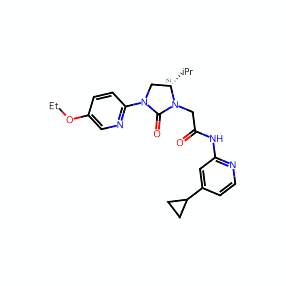 CCOc1ccc(N2C[C@H](C(C)C)N(CC(=O)Nc3cc(C4CC4)ccn3)C2=O)nc1